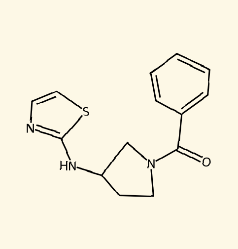 O=C(c1ccccc1)N1CCC(Nc2nccs2)C1